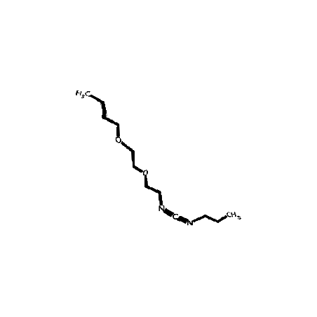 CCCCOCCOCCN=C=NCCC